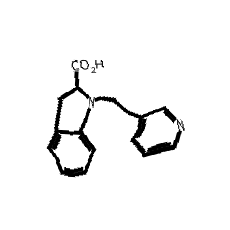 O=C(O)C1Cc2ccccc2N1Cc1cccnc1